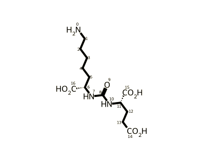 NCCCCC[C@H](NC(=O)N[C@@H](CCC(=O)O)C(=O)O)C(=O)O